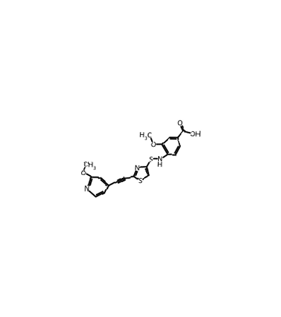 COc1cc(C#Cc2nc(SNc3ccc(C(=O)O)cc3OC)cs2)ccn1